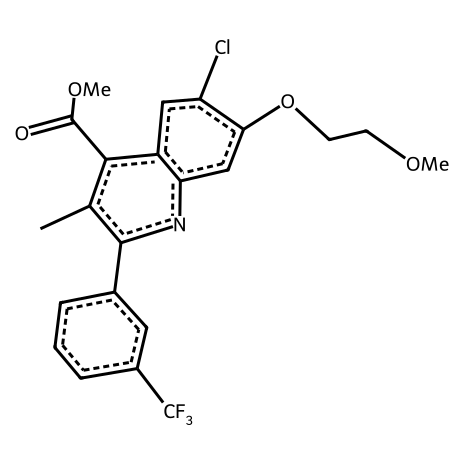 COCCOc1cc2nc(-c3cccc(C(F)(F)F)c3)c(C)c(C(=O)OC)c2cc1Cl